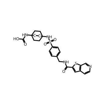 O=C(O)NC12CCC(NS(=O)(=O)c3ccc(CNC(=O)c4cc5ccncc5s4)cc3)(CC1)CC2